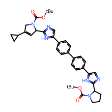 CC(C)(C)OC(=O)N1CC(C2CC2)=CC1c1ncc(-c2ccc(-c3ccc(-c4cnc(C5CCCN5C(=O)OC(C)(C)C)[nH]4)cc3)cc2)[nH]1